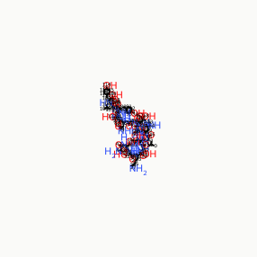 CC(C)C[C@H](NC(=O)[C@H](CC(C)C)NC(=O)[C@H](CO)NC(=O)C(CCCCN)NC(=O)[C@H](CO)NC(=O)C(CO)NC(=O)CN)C(=O)NC(Cc1cnc[nH]1)C(=O)N[C@@H](CO)C(=O)NC(CC(=O)O)C(=O)NCC(=O)N[C@@H](CC(N)=O)C(=O)N[C@H](C(=O)N[C@H](Cc1ccc(O)cc1)C(=O)N[C@H](CC(C)C)C(=O)N[C@H](Cc1ccc(O)cc1)C(=O)O)[C@@H](C)O